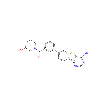 Nc1ncnc2c1sc1cc(-c3cccc(C(=O)N4CCCC(O)C4)c3)ccc12